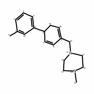 Cc1cccc(C2C=CC(CN3CCN(C)CC3)=CC2)c1